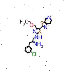 N[C@@H](CNc1nc(COCC(F)(F)F)c(-c2nc3ccncc3s2)s1)Cc1cccc(Cl)c1